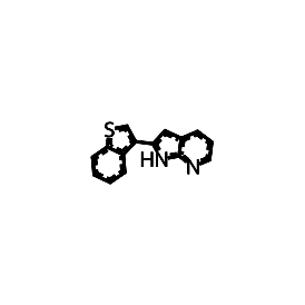 c1cnc2[nH]c(-c3csc4ccccc34)cc2c1